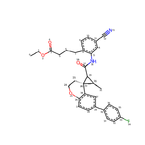 CCOC(=O)CCCc1ccc(C#N)cc1NC(=O)C1C(C)[C@]12CCOc1ccc(-c3ccc(F)cc3)cc12